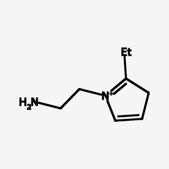 CCC1=[N+](CCN)C=CC1